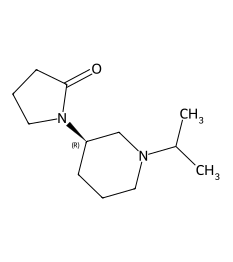 CC(C)N1CCC[C@@H](N2CCCC2=O)C1